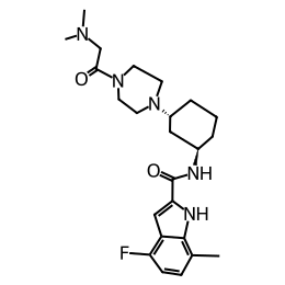 Cc1ccc(F)c2cc(C(=O)N[C@@H]3CCC[C@@H](N4CCN(C(=O)CN(C)C)CC4)C3)[nH]c12